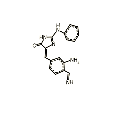 N=Cc1ccc(/C=C2\N=C(Nc3ccccc3)NC2=O)cc1N